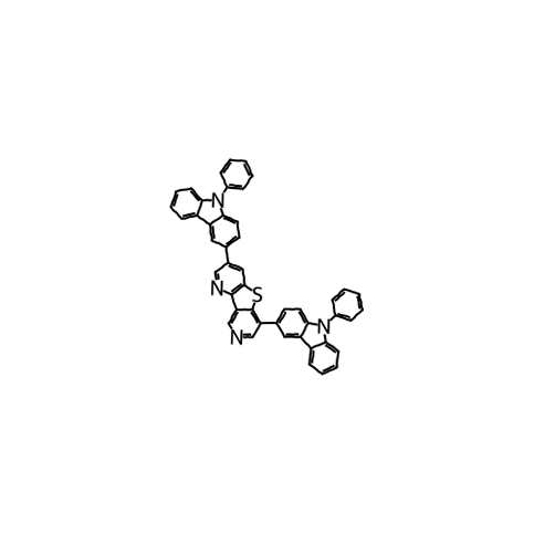 c1ccc(-n2c3ccccc3c3cc(-c4cnc5c(c4)sc4c(-c6ccc7c(c6)c6ccccc6n7-c6ccccc6)cncc45)ccc32)cc1